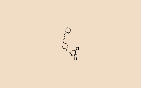 Clc1cc(CN2CCN(CCCc3ccccc3)CC2)cc(Cl)n1